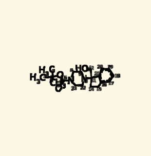 CC(C)(C)OC(=O)N1CCN([C@@]2(CO)CCc3ccccc32)CC1